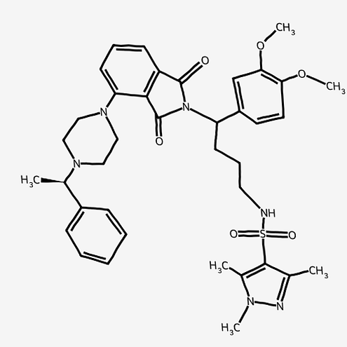 COc1ccc(C(CCCNS(=O)(=O)c2c(C)nn(C)c2C)N2C(=O)c3cccc(N4CCN([C@H](C)c5ccccc5)CC4)c3C2=O)cc1OC